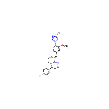 COc1cc(/C=C2\OCCN3C2=NOCC3c2ccc(F)cc2)ccc1-n1cnc(C)c1